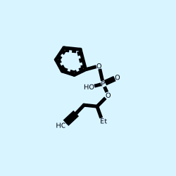 C#CCC(CC)OP(=O)(O)Oc1ccccc1